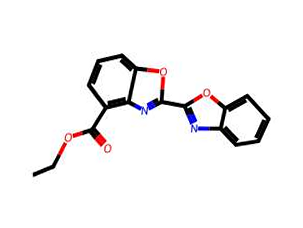 CCOC(=O)c1cccc2oc(-c3nc4ccccc4o3)nc12